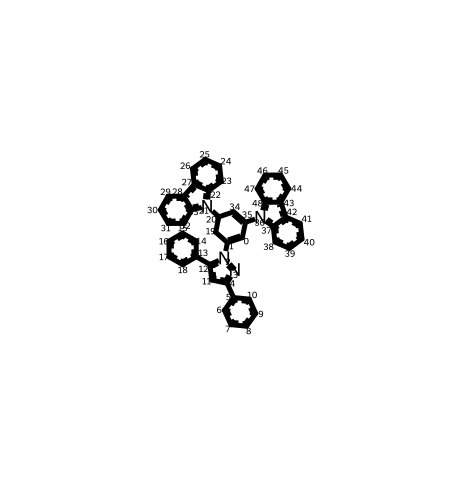 C1=C(n2nc(-c3ccccc3)cc2-c2ccccc2)CC(n2c3ccccc3c3ccccc32)C=C1n1c2ccccc2c2ccccc21